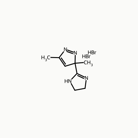 Br.Br.CC1=CC(C)(C2=NCCN2)N=N1